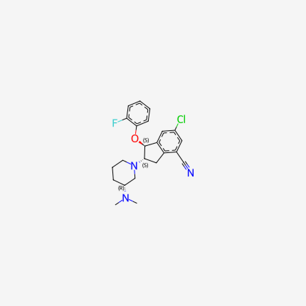 CN(C)[C@@H]1CCCN([C@H]2Cc3c(C#N)cc(Cl)cc3[C@@H]2Oc2ccccc2F)C1